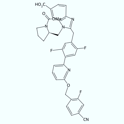 COC(=O)N1CCC[C@@H]1Cn1c(Cc2cc(F)c(-c3cccc(OCc4ccc(C#N)cc4F)n3)cc2F)nc2ccc(C(=O)O)cc21